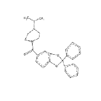 CC(C)N1CCN(C(=O)c2ccc3c(c2)OC(c2ccccc2)(c2ccccc2)O3)CC1